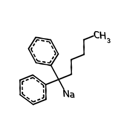 CCCCC[C]([Na])(c1ccccc1)c1ccccc1